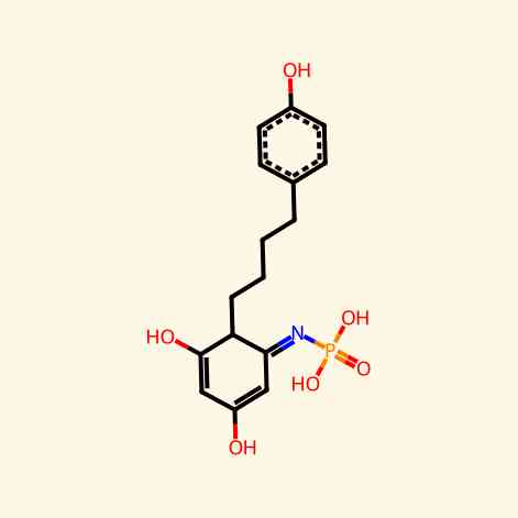 O=P(O)(O)N=C1C=C(O)C=C(O)C1CCCCc1ccc(O)cc1